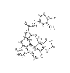 Cc1cc(CNC(=O)c2cc3nc(C)c(C(OC(C)(C)C)C(=O)O)c(-c4cc(F)c5c(c4C)CCCO5)n3n2)ccc1F